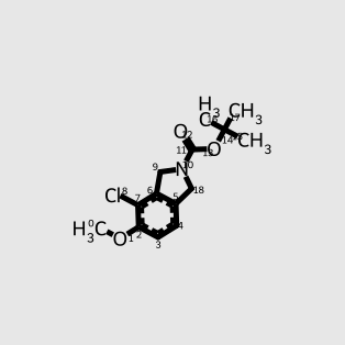 COc1ccc2c(c1Cl)CN(C(=O)OC(C)(C)C)C2